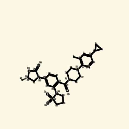 Cc1cc(C2CC2)cnc1N1CCN(C(=O)c2ccc(N3C[C@H](C)OC3=O)cc2N2CCCS2(=O)=O)CC1